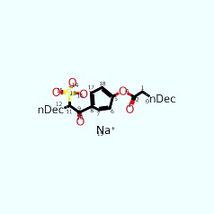 CCCCCCCCCCCC(=O)Oc1ccc(C(=O)C(CCCCCCCCCC)S(=O)(=O)[O-])cc1.[Na+]